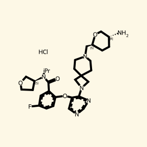 CC(C)N(C(=O)c1cc(F)ccc1Oc1cncnc1N1CC2(CCN(C[C@@H]3CC[C@@H](N)CO3)CC2)C1)[C@H]1CCOC1.Cl